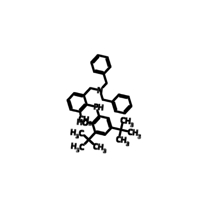 Cc1cccc(CN(Cc2ccccc2)Cc2ccccc2)c1Pc1cc(C(C)(C)C)cc(C(C)(C)C)c1O